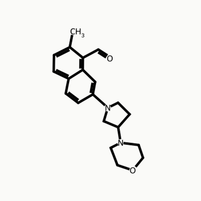 Cc1ccc2ccc(N3CCC(N4CCOCC4)C3)cc2c1C=O